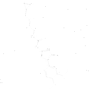 COc1ccc(-c2sc(NC(=O)NCCOCC3CC3)nc2C)nc1OC